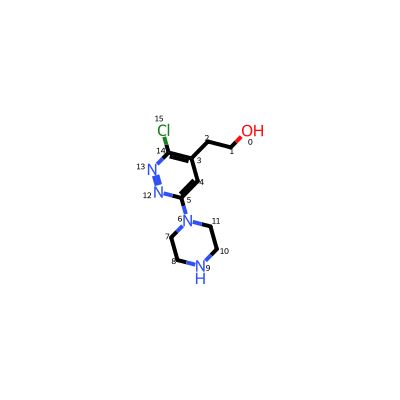 OCCc1cc(N2CCNCC2)nnc1Cl